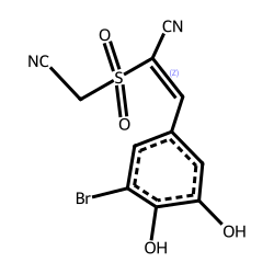 N#CCS(=O)(=O)/C(C#N)=C\c1cc(O)c(O)c(Br)c1